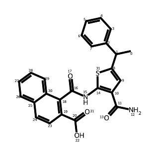 CC(c1ccccc1)c1cc(C(N)=O)c(NC(=O)c2c(C(=O)O)ccc3ccccc23)s1